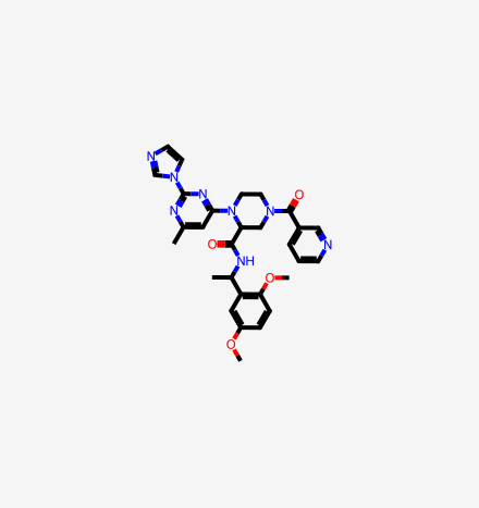 COc1ccc(OC)c(C(C)NC(=O)C2CN(C(=O)c3cccnc3)CCN2c2cc(C)nc(-n3ccnc3)n2)c1